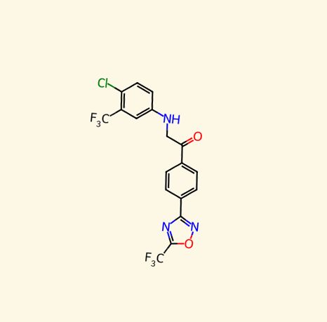 O=C(CNc1ccc(Cl)c(C(F)(F)F)c1)c1ccc(-c2noc(C(F)(F)F)n2)cc1